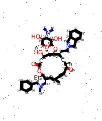 CC[C@H]1OC(=O)C[C@@H](O)[C@H](C)[C@@H](O[C@@H]2O[C@H](C)[C@@H](O)[C@H](N(C)C)[C@H]2O)[C@@H](CCN2Cc3ccccc3C2)C[C@@H](C)C(=O)/C=C/C(C)=C/[C@@H]1CN(C)Cc1ccccc1